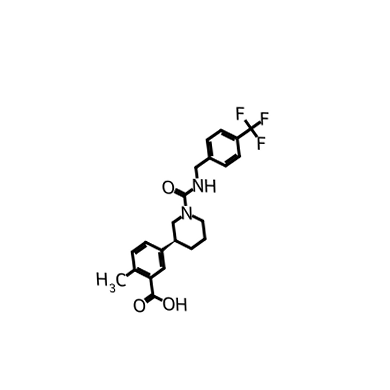 Cc1ccc([C@@H]2CCCN(C(=O)NCc3ccc(C(F)(F)F)cc3)C2)cc1C(=O)O